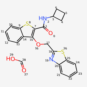 O=C(NC1CCC1)c1sc2ccccc2c1OCc1nc2ccccc2s1.O=CO